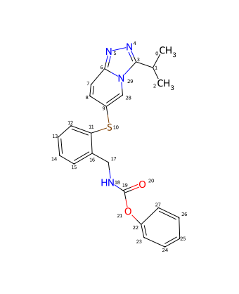 CC(C)c1nnc2ccc(Sc3ccccc3CNC(=O)Oc3ccccc3)cn12